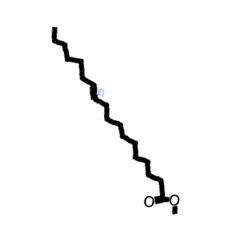 CCCCCC/C=C/CCCCCCCCCC(=O)OC